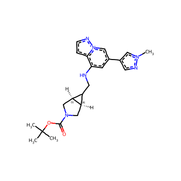 Cn1cc(-c2cc(NCC3[C@H]4CN(C(=O)OC(C)(C)C)C[C@@H]34)c3ccnn3c2)cn1